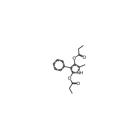 CCC(=O)Oc1[nH]c(C)c(OC(=O)CC)c1-c1ccccc1